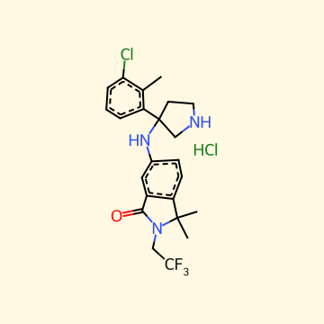 Cc1c(Cl)cccc1C1(Nc2ccc3c(c2)C(=O)N(CC(F)(F)F)C3(C)C)CCNC1.Cl